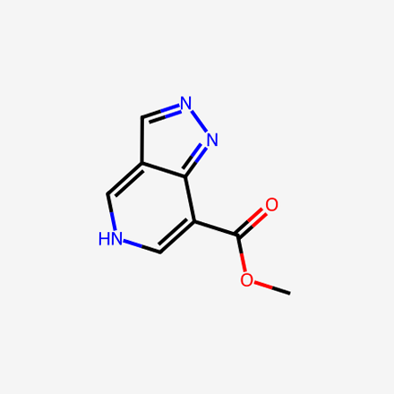 COC(=O)c1c[nH]cc2cnnc1-2